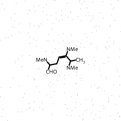 CNC(=CCC(C=O)NC)C(C)NC